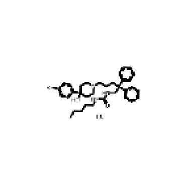 CCCCCNC(=O)NCC(CCCN1CCC(O)(c2ccc(Cl)cc2)CC1)(c1ccccc1)c1ccccc1.Cl